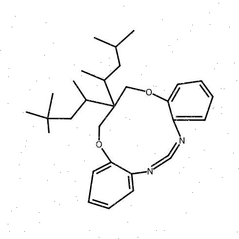 CC(C)CC(C)C1(C(C)CC(C)(C)C)COc2ccccc2N=C=Nc2ccccc2OC1